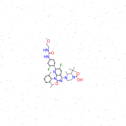 COCCNC(=O)Nc1ccc(-c2nc3c(cc2F)c(N2CCN(C(=O)O)C(C(C)(C)C)C2C)nc(=O)n3-c2c(C)cccc2C(C)C)c(F)c1